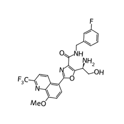 COc1ccc(-c2nc(C(=O)NCc3cccc(F)c3)c([C@@H](N)CO)o2)c2ccc(C(F)(F)F)nc12